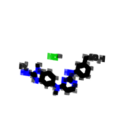 CC(C)Nc1nc2cc(N(C)c3ccnc(Nc4cccc(CS(=O)(=O)O)c4)n3)ccc2n1C.Cl